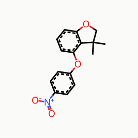 CC1(C)COc2cccc(Oc3ccc([N+](=O)[O-])cc3)c21